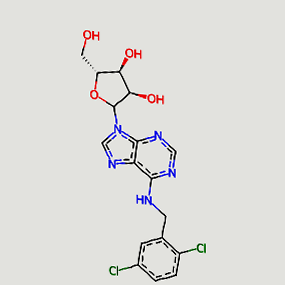 OC[C@H]1OC(n2cnc3c(NCc4cc(Cl)ccc4Cl)ncnc32)[C@H](O)[C@@H]1O